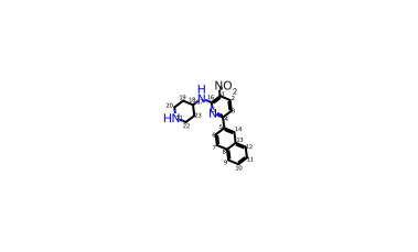 O=[N+]([O-])c1ccc(-c2ccc3ccccc3c2)nc1NC1CCNCC1